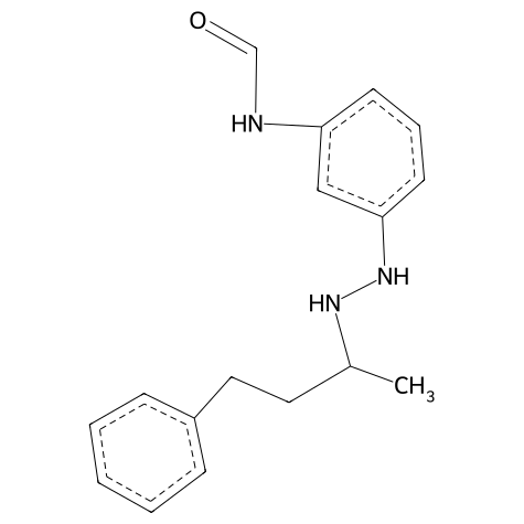 CC(CCc1ccccc1)NNc1cccc(NC=O)c1